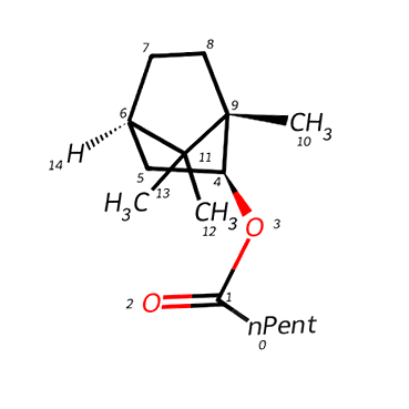 CCCCCC(=O)O[C@H]1C[C@H]2CC[C@@]1(C)C2(C)C